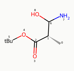 C[C@H](C(=O)OC(C)(C)C)C(N)O